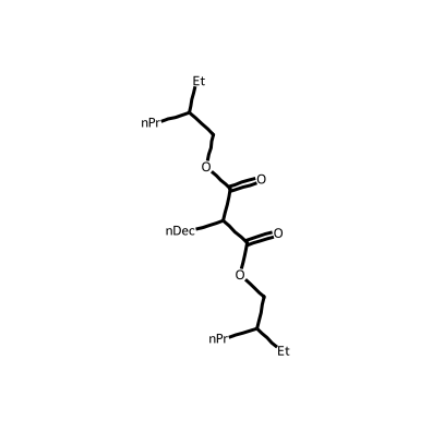 CCCCCCCCCCC(C(=O)OCC(CC)CCC)C(=O)OCC(CC)CCC